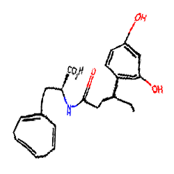 CC(CC(=O)N[C@@H](Cc1ccccc1)C(=O)O)c1ccc(O)cc1O